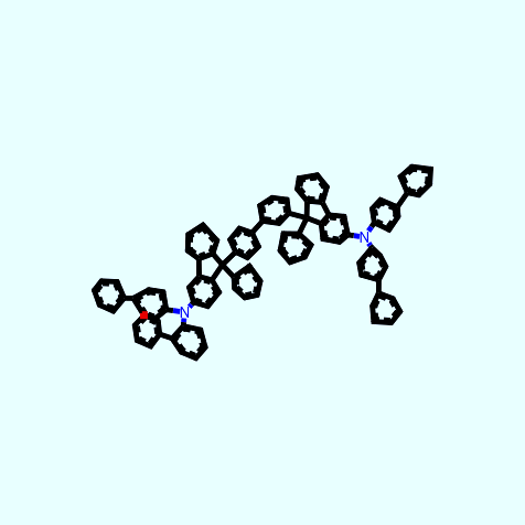 c1ccc(-c2ccc(N(c3ccc(-c4ccccc4)cc3)c3ccc4c(c3)-c3ccccc3C4(c3ccccc3)c3cccc(-c4ccc(C5(c6ccccc6)c6ccccc6-c6cc(N(c7ccc(-c8ccccc8)cc7)c7ccccc7-c7ccccc7)ccc65)cc4)c3)cc2)cc1